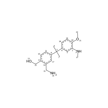 CNc1cc(C(C)(C)c2ccc(CO)c(CN)c2)ccc1OC